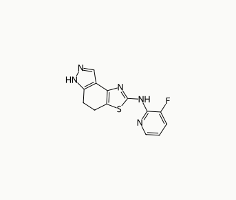 Fc1cccnc1Nc1nc2c(s1)CCc1[nH]ncc1-2